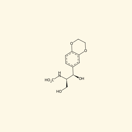 O=C(O)N[C@H](CO)[C@H](O)c1ccc2c(c1)OCCO2